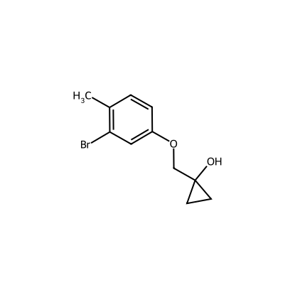 Cc1ccc(OCC2(O)CC2)cc1Br